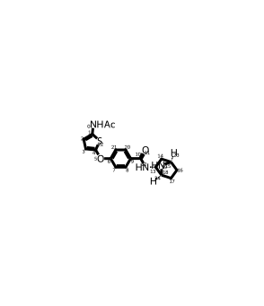 CC(=O)Nc1ccc(Oc2ccc(C(=O)N[C@@H]3C[C@H]4CC[C@@H]3N4)cc2)s1